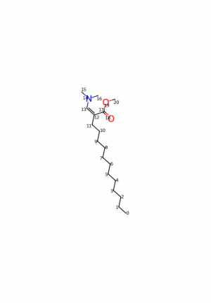 CCCCCCCCCCCCC(=CN(C)C)C(=O)OC